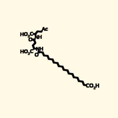 CC(=O)CCC(NC(=O)CC[C@H](NC(=O)CCCCCCCCCCCCCCCCCCC(=O)O)C(=O)O)C(=O)O